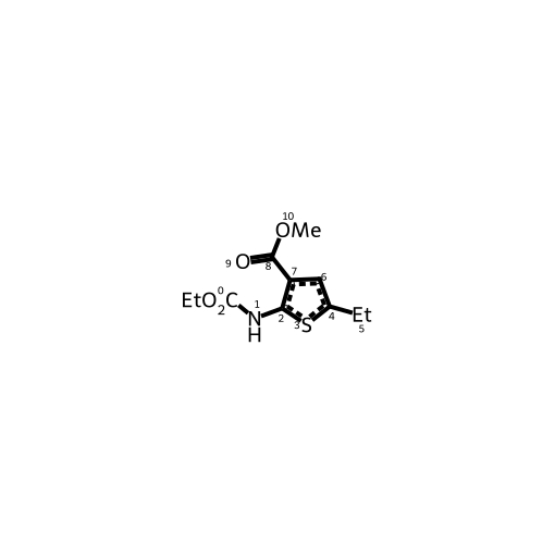 CCOC(=O)Nc1sc(CC)cc1C(=O)OC